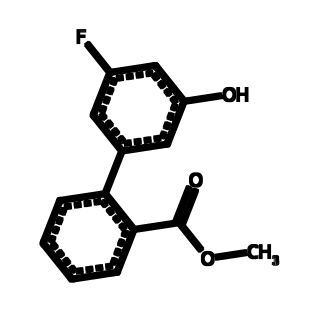 COC(=O)c1ccccc1-c1cc(O)cc(F)c1